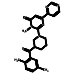 Cc1ccc(C)c(C(=O)C2CCCN(c3nc(-c4ccncn4)cc(=O)n3C)C2)c1